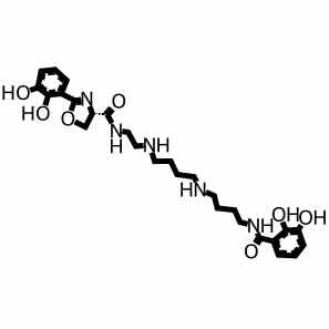 O=C(NCCCCNCCCCNCCNC(=O)[C@@H]1COC(c2cccc(O)c2O)=N1)c1cccc(O)c1O